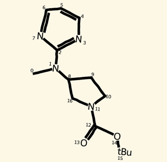 CN(c1ncccn1)C1CCN(C(=O)OC(C)(C)C)C1